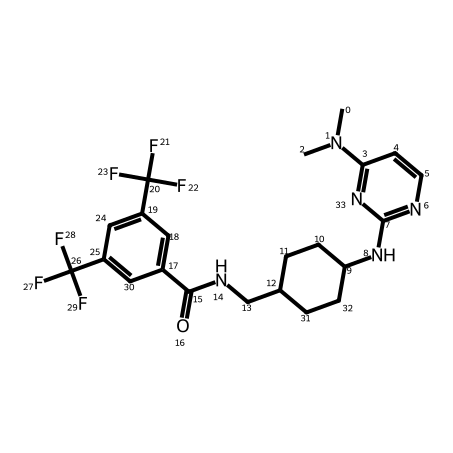 CN(C)c1ccnc(NC2CCC(CNC(=O)c3cc(C(F)(F)F)cc(C(F)(F)F)c3)CC2)n1